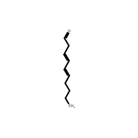 CCCCC=CC=CC[C]=O